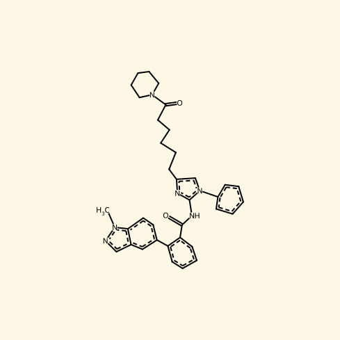 Cn1ncc2cc(-c3ccccc3C(=O)Nc3nc(CCCCCC(=O)N4CCCCC4)cn3-c3ccccc3)ccc21